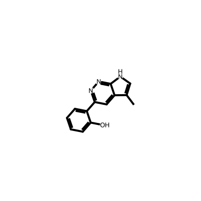 Cc1c[nH]c2nnc(-c3ccccc3O)cc12